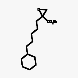 CCOC(=O)C1(CCCCCC2CCCCC2)CO1